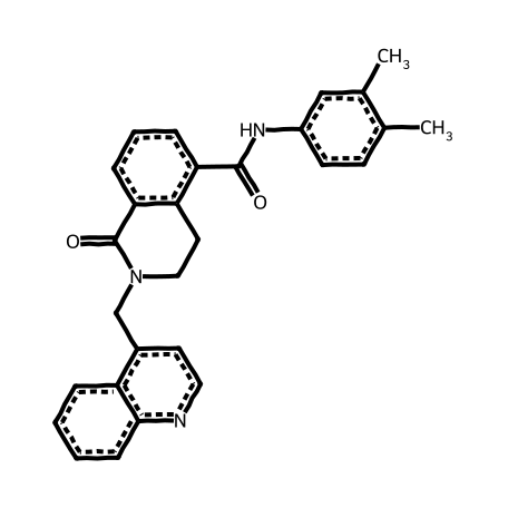 Cc1ccc(NC(=O)c2cccc3c2CCN(Cc2ccnc4ccccc24)C3=O)cc1C